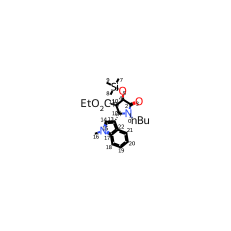 CCCCN1C(=O)C(O[Si](C)(C)C)[C@H](C(=O)OCC)[C@H]1c1cn(C)c2ccccc12